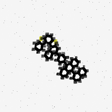 c1ccc2c(-c3c4ccccc4c(-c4ccc(-c5cc6sc7ccc8sc9ccccc9c8c7c6c6ccccc56)cc4)c4ccccc34)cccc2c1